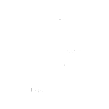 CC(=O)O.CCC=CCCCCCCCCCC